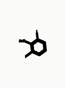 CC(=O)Oc1c(I)cccc1I